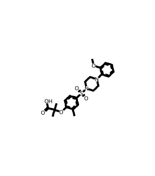 COc1ccccc1N1CCN(S(=O)(=O)c2ccc(OC(C)(C)C(=O)O)c(C)c2)CC1